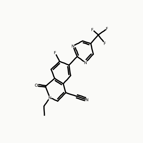 CCn1cc(C#N)c2cc(-c3ncc(C(F)(F)F)cn3)c(F)cc2c1=O